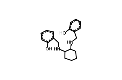 Oc1ccccc1CNC1CCCC[C@@H]1NCc1ccccc1O